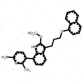 Cc1nc(N)ccc1-c1cccc2c(CCCOc3cccc4ccccc34)c(OC(=O)O)[nH]c12